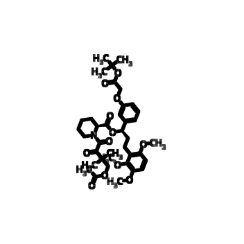 COc1ccc(OC)c(OC)c1CC[C@@H](OC(=O)[C@@H]1CCCCN1C(=O)C(=O)C(C)(C)COC(C)=O)c1cccc(OCC(=O)OC(C)(C)C)c1